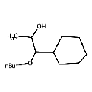 CCCCOC(C(C)O)C1CCCCC1